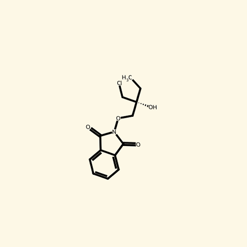 CC[C@](O)(CCl)CON1C(=O)c2ccccc2C1=O